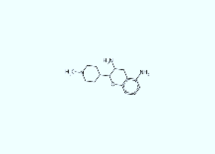 CN1CCC(C2Oc3cccc(N)c3CC2N)CC1